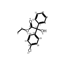 CCOC(=O)C(O)(c1ccccc1)c1ccc(Cl)cc1